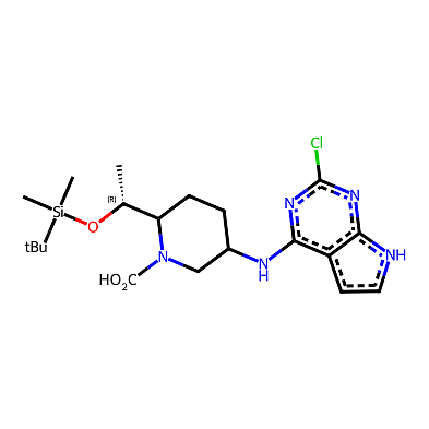 C[C@@H](O[Si](C)(C)C(C)(C)C)C1CCC(Nc2nc(Cl)nc3[nH]ccc23)CN1C(=O)O